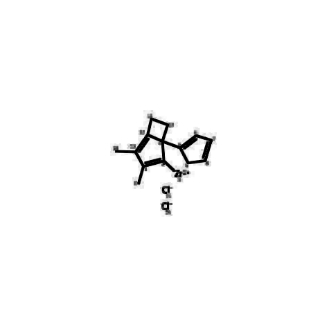 CC1=[C]([Zr+2])C2(C3=CC=CC3)CCC2=C1C.[Cl-].[Cl-]